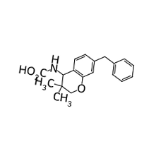 CC1(C)COc2cc(Cc3ccccc3)ccc2C1NC(=O)O